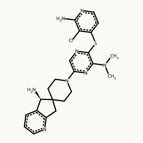 CN(C)c1nc(N2CCC3(CC2)Cc2ncccc2[C@H]3N)cnc1Sc1ccnc(N)c1Cl